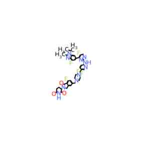 Cc1nc2c(F)cc(-c3nc(Nc4ccc(C(F)(F)N5CCN(Cc6cc(F)c7c(c6)CN(C6CCC(=O)NC6=O)C7=O)CC5)cn4)ncc3F)cc2n1C(C)C